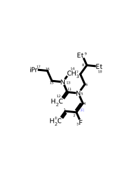 C=C/C(F)=C\N(CCC(CC)CC)C(=C)N(C)CCC(C)C